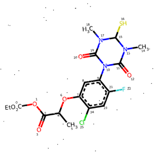 CCOC(=O)OC(=O)C(C)Oc1cc(N2C(=O)N(C)C(S)N(C)C2=O)c(F)cc1Cl